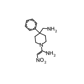 NCC1(c2ccccc2)CCN(C(N)=C[N+](=O)[O-])CC1